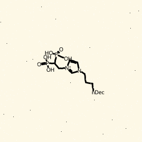 CCCCCCCCCCCCCn1cc[n+](CC(P(=O)(O)O)P(=O)(O)O)c1